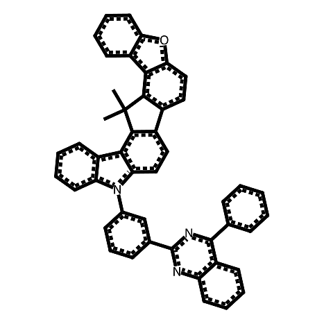 CC1(C)c2c(ccc3oc4ccccc4c23)-c2ccc3c(c21)c1ccccc1n3-c1cccc(-c2nc(-c3ccccc3)c3ccccc3n2)c1